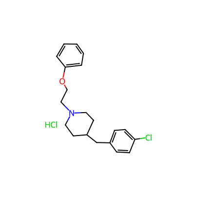 Cl.Clc1ccc(CC2CCN(CCOc3ccccc3)CC2)cc1